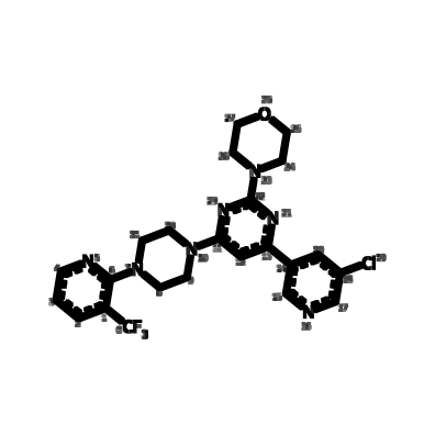 FC(F)(F)c1cccnc1N1CCN(c2cc(-c3cncc(Cl)c3)nc(N3CCOCC3)n2)CC1